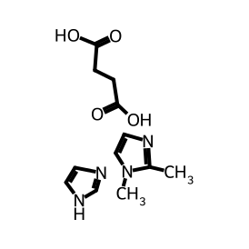 Cc1nccn1C.O=C(O)CCC(=O)O.c1c[nH]cn1